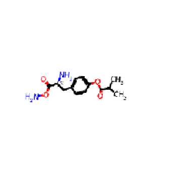 CC(C)C(=O)Oc1ccc(C[C@H](N)C(=O)ON)cc1